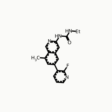 CCNC(=O)Nc1cc2cc(-c3cccnc3F)cc(C)c2cn1